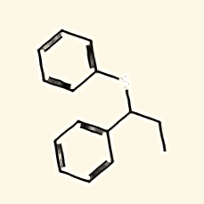 CCC(Sc1ccccc1)c1ccccc1